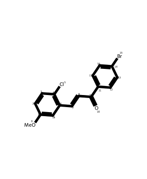 COc1ccc(Cl)c(/C=C/C(=O)c2ccc(Br)cc2)c1